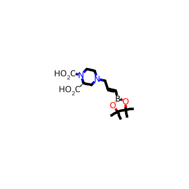 CC1(C)OB(/C=C/CN2CCN(C(=O)O)[C@@H](C(=O)O)C2)OC1(C)C